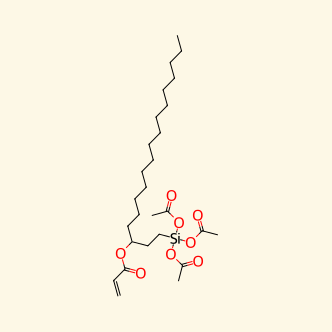 C=CC(=O)OC(CCCCCCCCCCCCCCC)CC[Si](OC(C)=O)(OC(C)=O)OC(C)=O